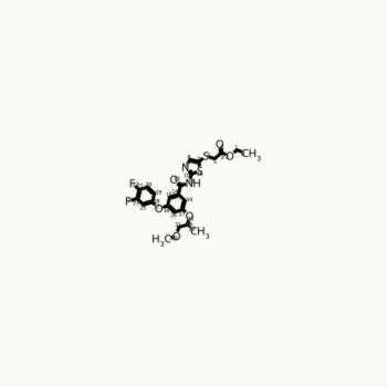 CCOC(=O)CSc1cnc(NC(=O)c2cc(Oc3ccc(F)c(F)c3)cc(O[C@@H](C)COC)c2)s1